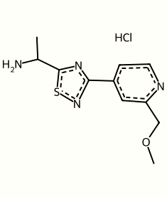 COCc1cc(-c2nsc(C(C)N)n2)ccn1.Cl